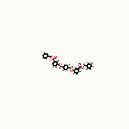 O=C(OCc1ccccc1)c1cccc(OCc2ccc(COc3cccc(C(=O)OCc4ccccc4)c3)cc2)c1